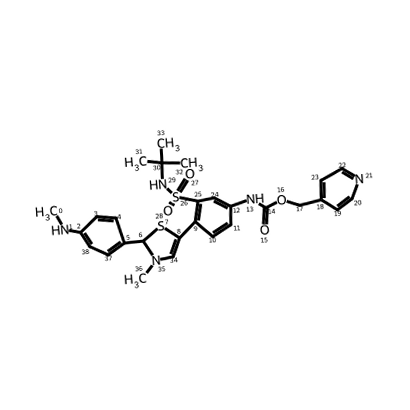 CNc1ccc(C2SC(c3ccc(NC(=O)OCc4ccncc4)cc3S(=O)(=O)NC(C)(C)C)=CN2C)cc1